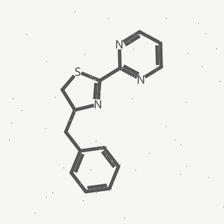 c1ccc(CC2CSC(c3ncccn3)=N2)cc1